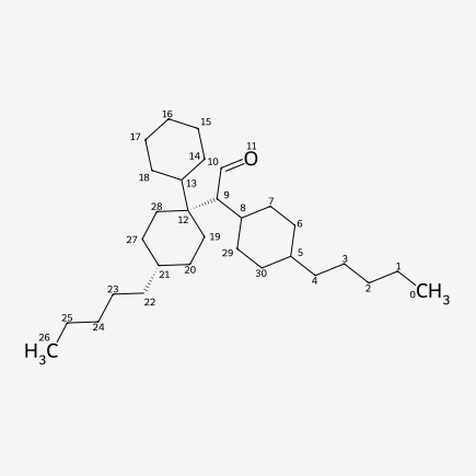 CCCCCC1CCC(C(C=O)[C@]2(C3CCCCC3)CC[C@H](CCCCC)CC2)CC1